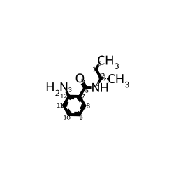 CC[C@H](C)NC(=O)c1[c]cccc1N